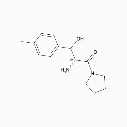 Cc1ccc(C(O)[C@@H](N)C(=O)N2CCCC2)cc1